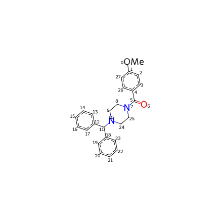 COc1ccc(C(=O)N2CCN(C(c3ccccc3)c3ccccc3)CC2)cc1